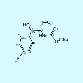 CC(C)(C)OC(=O)N[C@@H](CO)[C@H](O)c1ccc(F)cn1